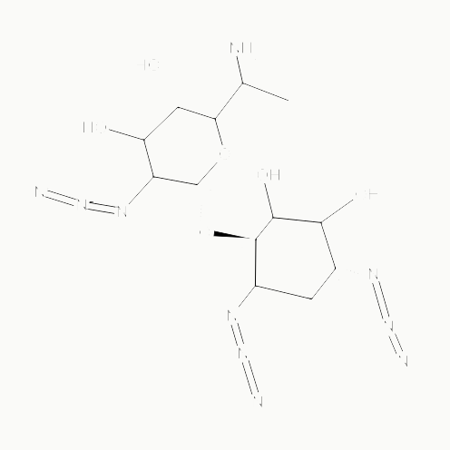 CC(N)C1O[C@H](O[C@@H]2C(N=[N+]=[N-])C[C@@H](N=[N+]=[N-])C(O)C2O)C(N=[N+]=[N-])C(O)[C@@H]1O